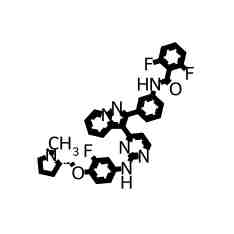 CN1CCC[C@H]1COc1ccc(Nc2nccc(-c3c(-c4cccc(NC(=O)c5c(F)cccc5F)c4)nn4ccccc34)n2)cc1F